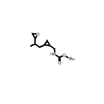 CC(CC1CC1CNC(=O)OC(C)(C)C)C1CO1